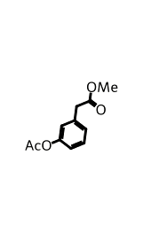 COC(=O)Cc1cccc(OC(C)=O)c1